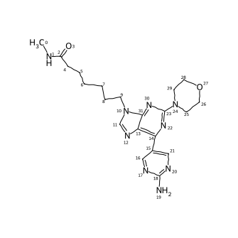 CNC(=O)CCCCCCn1cnc2c(-c3cnc(N)nc3)nc(N3CCOCC3)nc21